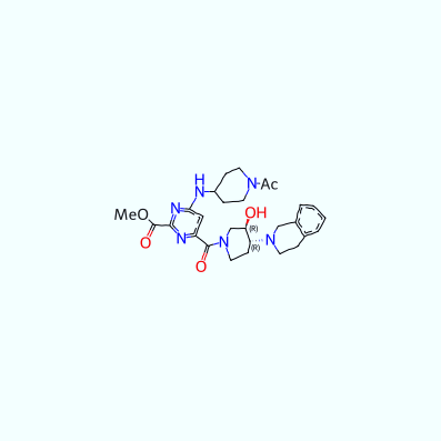 COC(=O)c1nc(NC2CCN(C(C)=O)CC2)cc(C(=O)N2CC[C@@H](N3CCc4ccccc4C3)[C@H](O)C2)n1